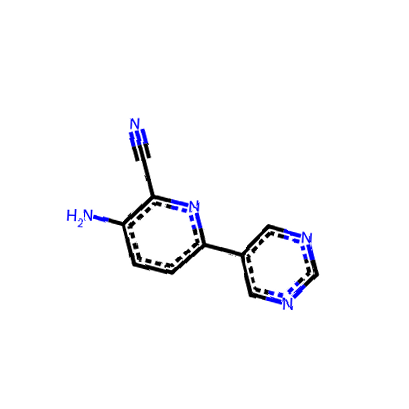 N#Cc1nc(-c2cncnc2)ccc1N